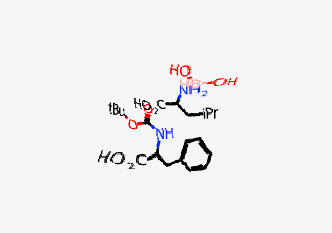 CC(C)(C)OC(=O)NC(Cc1ccccc1)C(=O)O.CC(C)CC(N)C(=O)O.OBO